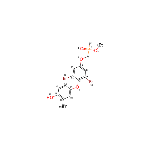 CCOP(C)(=O)COc1cc(Br)c(Oc2ccc(O)c(C(C)C)c2)c(Br)c1